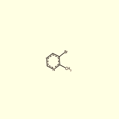 Cc1nc[c]cc1Br